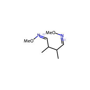 CO/N=C\C(C)C(C)/C=N\OC